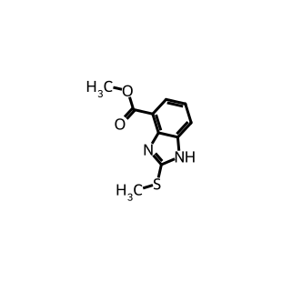 COC(=O)c1cccc2[nH]c(SC)nc12